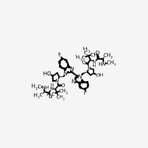 CN[C@H](C)C(=O)N[C@@H](C(=O)N1CC(O)C[C@H]1Cn1c(-c2nc3cc(F)ccc3n2C[C@@H]2CC(O)CN2C(=O)[C@H](NC(=O)[C@@H](C)NC)C(C)(C)C)nc2cc(F)ccc21)C(C)(C)C